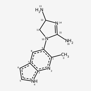 Cc1nc2[nH]ccc2cc1N1CC(N)N=C1N